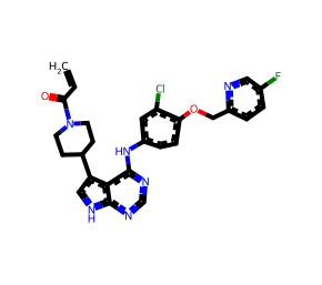 C=CC(=O)N1CCC(c2c[nH]c3ncnc(Nc4ccc(OCc5ccc(F)cn5)c(Cl)c4)c23)CC1